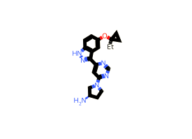 CCC1(Oc2ccc3[nH]nc(-c4cc(N5CC[C@@H](N)C5)ncn4)c3c2)CC1